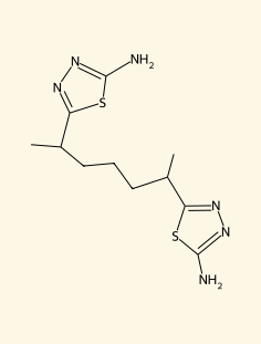 CC(CCCC(C)c1nnc(N)s1)c1nnc(N)s1